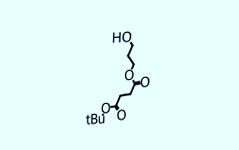 CC(C)(C)OC(=O)CCC(=O)OCCCO